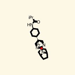 CC(C)C(=O)N[C@H]1CC[C@H](c2cnc(N3C4CCC3CN(C(C)C)C4)nc2)CC1